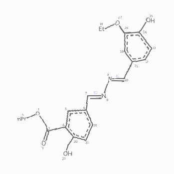 CCCOC(=O)c1cc(/C=N/N=C/c2ccc(O)c(OCC)c2)ccc1O